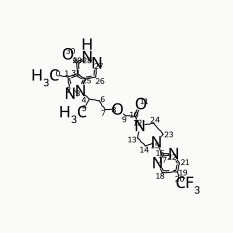 Cc1nn(C(C)CCOCC(=O)N2CCN(c3ncc(C(F)(F)F)cn3)CC2)c2cn[nH]c(=O)c12